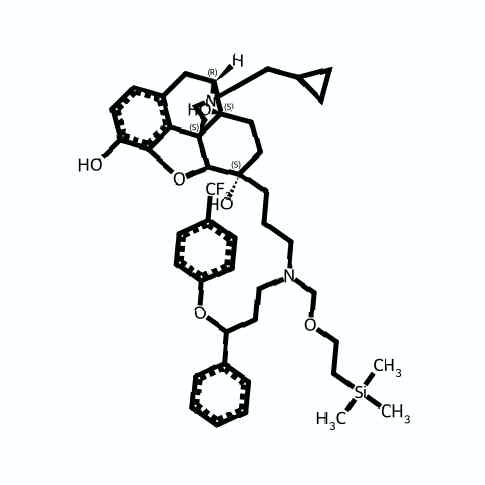 C[Si](C)(C)CCOCN(CCC[C@]1(O)CC[C@@]2(O)[C@H]3Cc4ccc(O)c5c4[C@@]2(CCN3CC2CC2)C1O5)CCC(Oc1ccc(C(F)(F)F)cc1)c1ccccc1